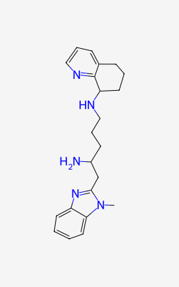 Cn1c(CC(N)CCCNC2CCCc3cccnc32)nc2ccccc21